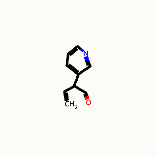 C=CC(C=O)c1cccnc1